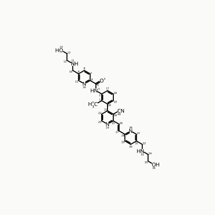 Cc1c(NC(=O)c2ccc(CNCCO)cn2)cccc1-c1ccnc(/C=C/c2ccc(CNCCO)cn2)c1C#N